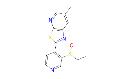 CC[S+]([O-])c1cnccc1-c1nc2cc(C)cnc2s1